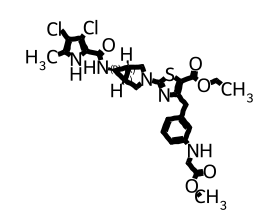 CCOC(=O)c1sc(N2C[C@@H]3[C@H](C2)[C@@H]3NC(=O)c2[nH]c(C)c(Cl)c2Cl)nc1Cc1cccc(NCC(=O)OC)c1